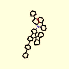 c1ccc(-c2ccc(-c3ccc4c(c3)C3(c5ccccc5-c5ccccc53)c3cc(N(c5ccc(-c6ccccc6)cc5)c5ccccc5-c5ccccc5)ccc3-4)cc2)cc1